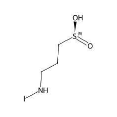 O=[S@](O)CCCNI